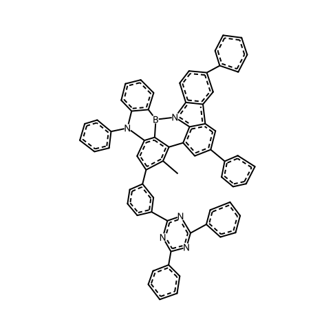 Cc1c(-c2cccc(-c3nc(-c4ccccc4)nc(-c4ccccc4)n3)c2)cc2c3c1-c1cc(-c4ccccc4)cc4c5cc(-c6ccccc6)ccc5n(c14)B3c1ccccc1N2c1ccccc1